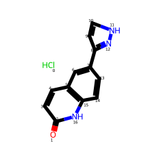 Cl.O=c1ccc2cc(-c3cc[nH]n3)ccc2[nH]1